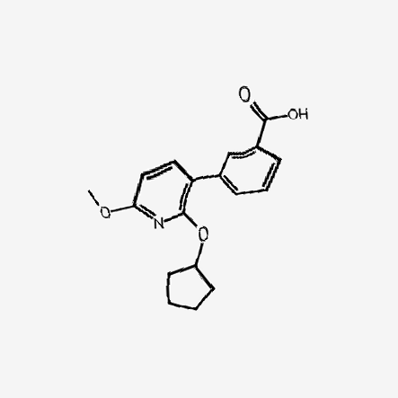 COc1ccc(-c2cccc(C(=O)O)c2)c(OC2CCCC2)n1